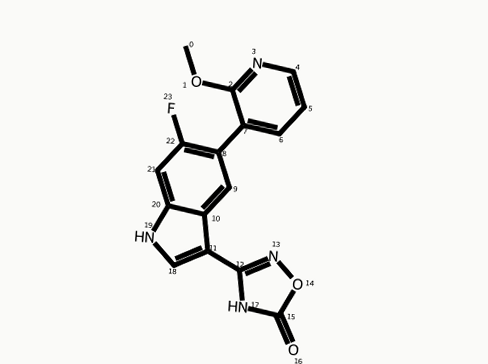 COc1ncccc1-c1cc2c(-c3noc(=O)[nH]3)c[nH]c2cc1F